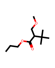 CCCOC(=O)C(COC)C(C)(C)C